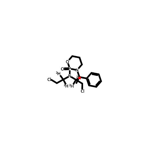 [2H]C([2H])(CCl)N(C([2H])([2H])CCl)P1(=O)OCCCN1C(C)c1ccccc1